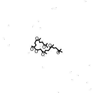 CC1(C)OC1CCC1(C)OC1CCC1(C)OC1CC1OC1C1(CCC2OC2(C)CCC2OC2(C)C)CO1